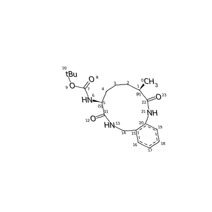 C[C@@H]1CCC[C@H](NC(=O)OC(C)(C)C)C(=O)NCc2ccccc2NC1=O